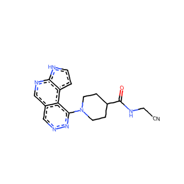 N#CCNC(=O)C1CCN(c2nncc3cnc4[nH]ccc4c23)CC1